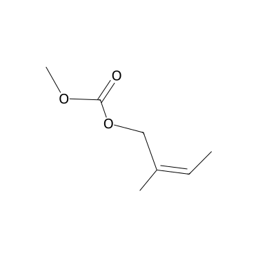 CC=C(C)COC(=O)OC